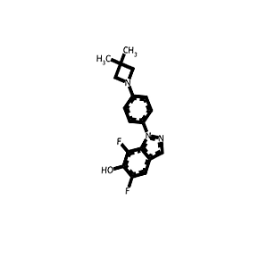 CC1(C)CN(c2ccc(-n3ncc4cc(F)c(O)c(F)c43)cc2)C1